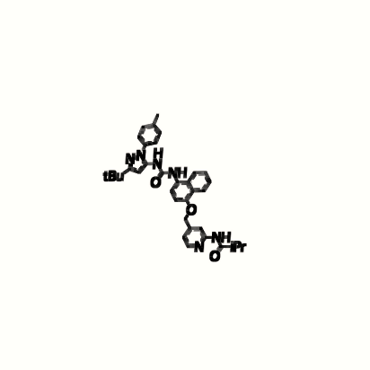 Cc1ccc(-n2nc(C(C)(C)C)cc2NC(=O)Nc2ccc(OCc3ccnc(NC(=O)C(C)C)c3)c3ccccc23)cc1